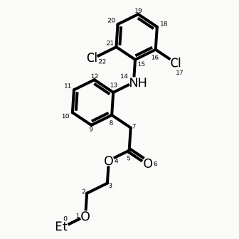 CCOCCOC(=O)Cc1ccccc1Nc1c(Cl)cccc1Cl